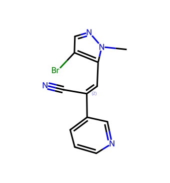 Cn1ncc(Br)c1/C=C(\C#N)c1cccnc1